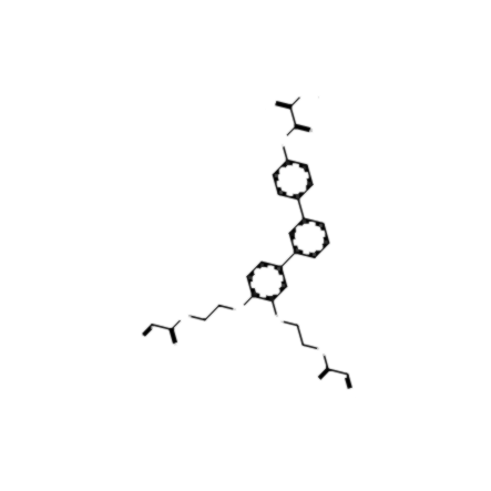 C=CC(=O)OCCOc1ccc(-c2cccc(-c3ccc(OC(=O)C(=C)C)cc3)c2)cc1OCCOC(=O)C=C